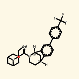 O=C(N1CC2CC(C1)N2CCO)N1CC[C@@H]2C[C@H]1c1cc(-c3ccc(C(F)(F)F)cc3)ccc12